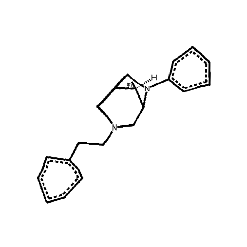 C[C@@H]1C2CN(CCc3ccccc3)CC1N(c1ccccc1)C2